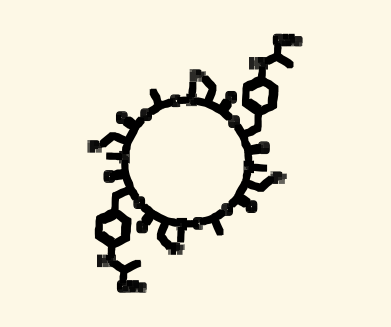 COC(C)Nc1ccc(CC2OC(=O)C(CC(C)C)N(C)CC(C)OC(=O)C(CC(C)C)N(C)C(=O)C(Cc3ccc(NC(C)OC)cc3)OC(=O)C(CC(C)C)N(C)CC(C)OC(=O)C(CC(C)C)N(C)C2=O)cc1